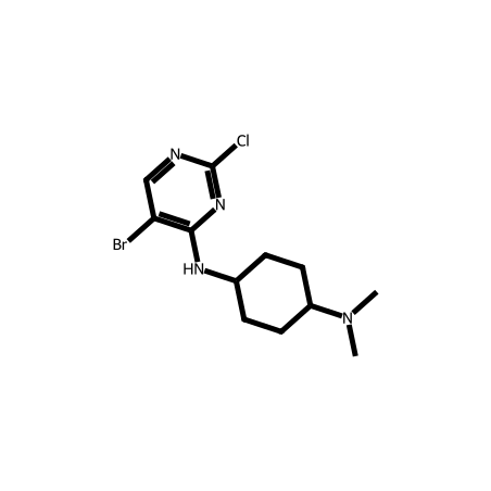 CN(C)C1CCC(Nc2nc(Cl)ncc2Br)CC1